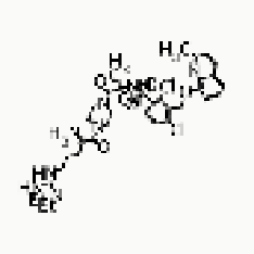 CCN=C(NCC)NCCC[C@@H](N)C(=O)N1CCN(C(=O)C(C)(C)NS(=O)(=O)c2ccc(Cl)c(COc3cccc4ccc(C)nc34)c2Cl)CC1